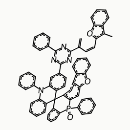 C=C(/C=C\c1oc2ccccc2c1C)c1nc(-c2ccccc2)nc(-c2ccc3c(c2)N(c2ccccc2)c2ccccc2C32c3ccccc3P(=O)(c3ccccc3)c3cc4oc5ccccc5c4cc32)n1